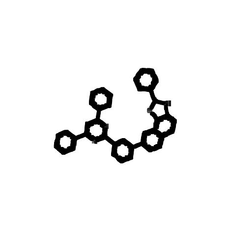 c1ccc(-c2cc(-c3ccccc3)nc(-c3cccc(-c4ccc5ccc6c(c5c4)OC(c4ccccc4)N6)c3)n2)cc1